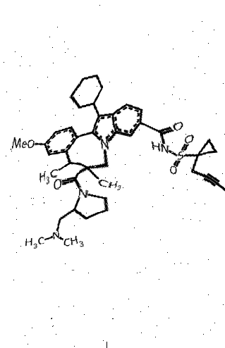 CCC#CCC1(S(=O)(=O)NC(=O)c2ccc3c(C4CCCCC4)c4n(c3c2)CC(C)(C(=O)N2CCCC2CN(C)C)C(C)c2cc(OC)ccc2-4)CC1